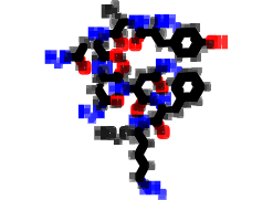 CC(C)[C@H](NC(=O)[C@@H](N)Cc1ccc(O)cc1)C(=O)N[C@@H](CC(N)=O)C(=O)N[C@@H](CC(N)=O)C(=O)N[C@@H](CC(N)=O)C(=O)N[C@@H](Cc1ccccc1)C(=O)N[C@@H](CCCCN)C(=O)O